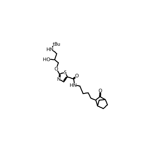 CC(C)(C)NCC(O)COc1ncc(C(=O)NCCCCC2C(=O)C3CCC2C3)s1